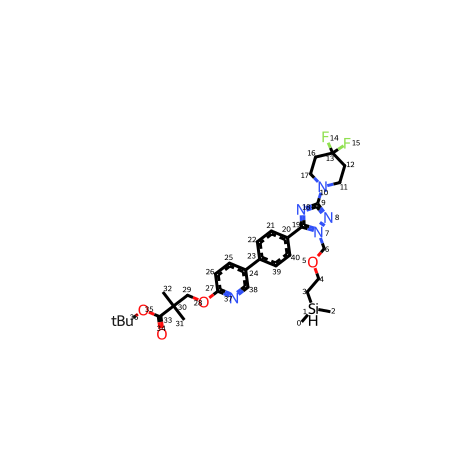 C[SiH](C)CCOCn1nc(N2CCC(F)(F)CC2)nc1-c1ccc(-c2ccc(OCC(C)(C)C(=O)OC(C)(C)C)nc2)cc1